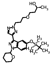 C[C@H](O)CCOCCCn1ncc(-c2nn(C3CCCCO3)c3ccc(O[Si](C)(C)C(C)(C)C)cc23)n1